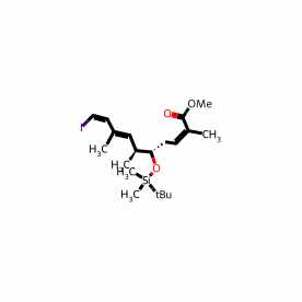 COC(=O)/C(C)=C\C[C@H](O[Si](C)(C)C(C)(C)C)[C@@H](C)/C=C(C)/C=C\I